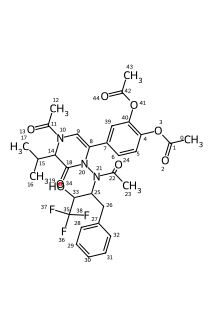 CC(=O)Oc1ccc(C2=CN(C(C)=O)C(C(C)C)C(=O)N2N(C(C)=O)C(Cc2ccccc2)C(O)C(F)(F)F)cc1OC(C)=O